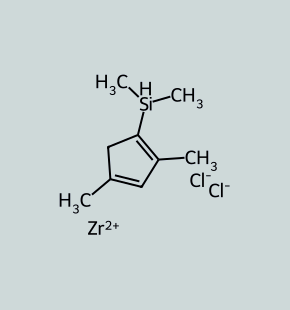 CC1=CC(C)=C([SiH](C)C)C1.[Cl-].[Cl-].[Zr+2]